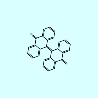 C=c1c2ccccc2c(=C2c3ccccc3C(=O)c3ccccc32)c2ccccc12